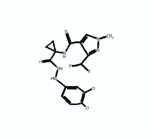 Cn1cc(C(=O)NC2(C(=O)NNc3ccc(Cl)c(Cl)c3)CC2)c(C(F)F)n1